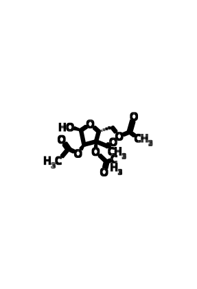 CC(=O)OC[C@H]1O[C@H](O)[C@H](OC(C)=O)[C@@]1(OC(C)=O)C(C)=O